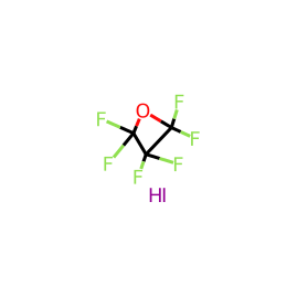 FC1(F)OC(F)(F)C1(F)F.I